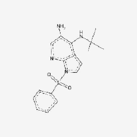 CC(C)(C)Nc1c(N)cnc2c1ccn2S(=O)(=O)c1ccccc1